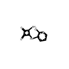 Nc1c(Nc2cccnc2Cl)c(=O)c1=O